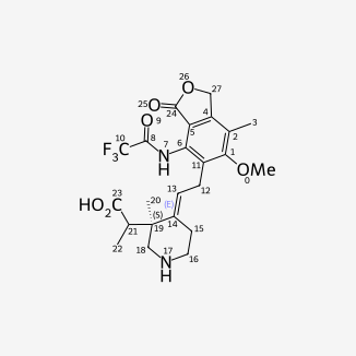 COc1c(C)c2c(c(NC(=O)C(F)(F)F)c1C/C=C1\CCNC[C@@]1(C)C(C)C(=O)O)C(=O)OC2